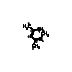 C/N=C(C)\N=C(\C)S